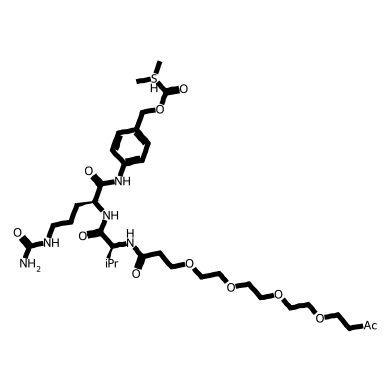 CC(=O)CCOCCOCCOCCOCCC(=O)N[C@H](C(=O)N[C@@H](CCCNC(N)=O)C(=O)Nc1ccc(COC(=O)[SH](C)C)cc1)C(C)C